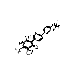 Cc1[nH]c(C)c(-c2ccc(-c3ccc(OC(F)(F)F)cc3)nc2)c(=O)c1Cl